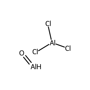 [Cl][Al]([Cl])[Cl].[O]=[AlH]